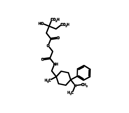 CN(C)C1(c2ccccc2)CCC(C)(CNC(=O)COC(=O)CC(O)(CC(=O)O)C(=O)O)CC1